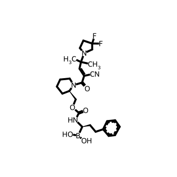 CC(C)(C=C(C#N)C(=O)N1CCCC[C@@H]1COC(=O)N[C@@H](CCc1ccccc1)B(O)O)N1CCC(F)(F)C1